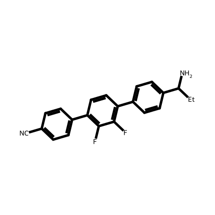 CCC(N)c1ccc(-c2ccc(-c3ccc(C#N)cc3)c(F)c2F)cc1